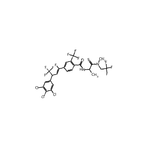 CC(NC(=O)c1ccc(/C(F)=C/C(c2cc(Cl)c(Cl)c(Cl)c2)C(F)(F)F)cc1C(F)(F)F)C(=S)N(C)CC(F)(F)F